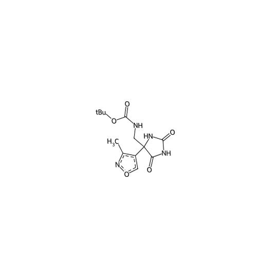 Cc1nocc1C1(CNC(=O)OC(C)(C)C)NC(=O)NC1=O